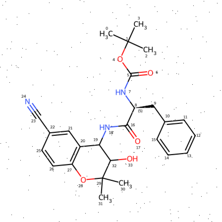 CC(C)(C)OC(=O)N[C@@H](Cc1ccccc1)C(=O)NC1c2cc(C#N)ccc2OC(C)(C)C1O